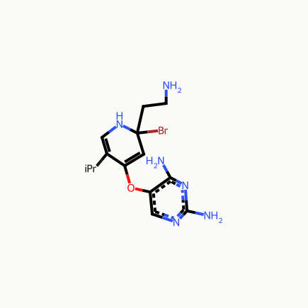 CC(C)C1=CNC(Br)(CCN)C=C1Oc1cnc(N)nc1N